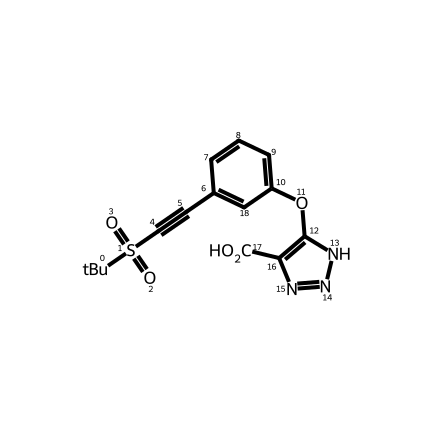 CC(C)(C)S(=O)(=O)C#Cc1cccc(Oc2[nH]nnc2C(=O)O)c1